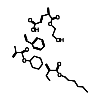 C=C(C)C(=O)OC1CCCCC1.C=C(C=CC(=O)O)C(=O)OCCO.C=C(CC)C(=O)OCCCCCC.C=Cc1ccccc1